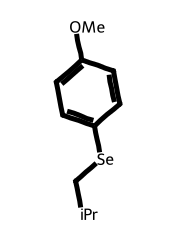 COc1ccc([Se]CC(C)C)cc1